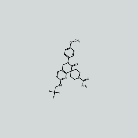 COc1ccc(N2Cc3cnc(NCC(F)(F)F)nc3C3(CCN(C(N)=O)CC3)C2=O)cc1